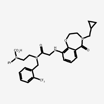 CC(C)N(CCN(Cc1ccccc1C(F)(F)F)C(=O)CNc1cccc2c1OCCN(CC1CC1)C2=O)C(=O)O